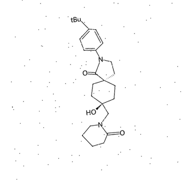 CC(C)(C)c1ccc(N2CC[C@]3(CC[C@@](O)(CN4CCCCC4=O)CC3)C2=O)cc1